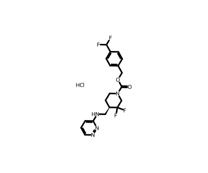 Cl.O=C(OCc1ccc(C(F)F)cc1)N1CC[C@H](CNc2cccnn2)C(F)(F)C1